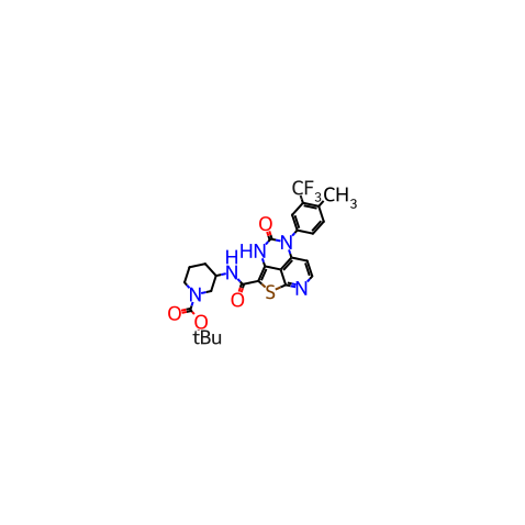 Cc1ccc(N2C(=O)Nc3c(C(=O)NC4CCCN(C(=O)OC(C)(C)C)C4)sc4nccc2c34)cc1C(F)(F)F